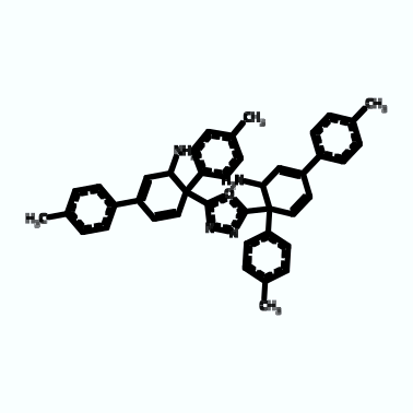 Cc1ccc(C2=CC(N)C(c3ccc(C)cc3)(c3nnc(C4(c5ccc(C)cc5)C=CC(c5ccc(C)cc5)=CC4N)o3)C=C2)cc1